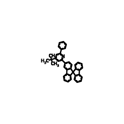 CC(C)(C)c1cc(-c2ccccc2)nc(-c2ccc3c(c2)-c2ccccc2C32c3ccccc3-c3ccccc32)c1